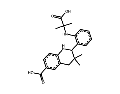 CC(C)(Nc1ccccc1C1Nc2ccc(C(=O)O)cc2CC1(C)C)C(=O)O